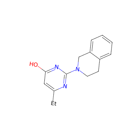 CCc1cc(O)nc(N2CCc3ccccc3C2)n1